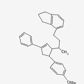 COc1ccc(C2CC(c3ccccc3)=CC2C(C)CCc2cccc3c2CCC3)cc1